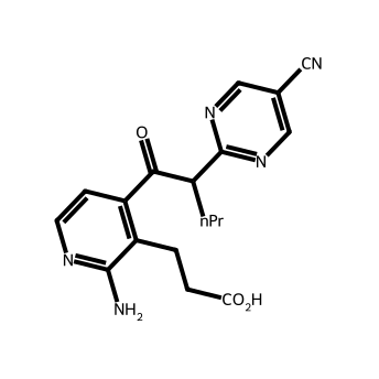 CCCC(C(=O)c1ccnc(N)c1CCC(=O)O)c1ncc(C#N)cn1